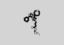 CCOC(=O)CCCn1cc(C2(n3cc(-c4ccccc4)nn3)CCCCCCC2)nn1